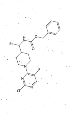 CCC(NC(=O)OCc1ccccc1)C1CCN(c2nc(Cl)ncc2F)CC1